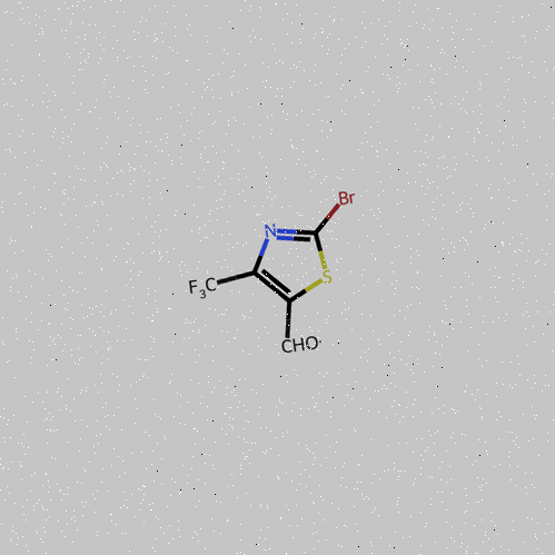 O=[C]c1sc(Br)nc1C(F)(F)F